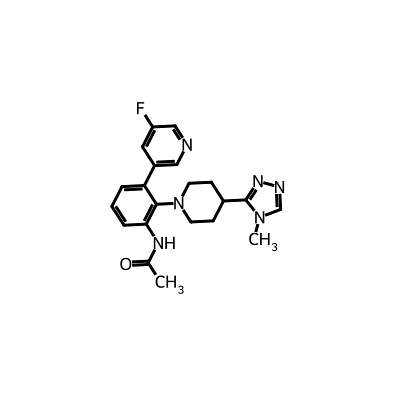 CC(=O)Nc1cccc(-c2cncc(F)c2)c1N1CCC(c2nncn2C)CC1